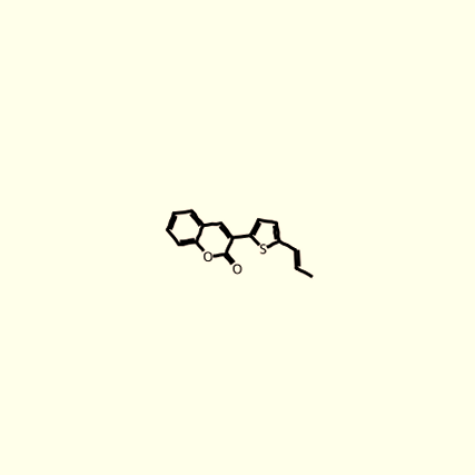 CC=Cc1ccc(-c2cc3ccccc3oc2=O)s1